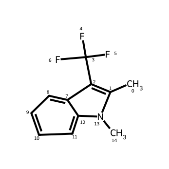 Cc1c(C(F)(F)F)c2ccccc2n1C